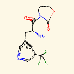 N[C@@H](Cc1cncc(C(F)(F)F)c1)C(=O)N1CCOC1=O